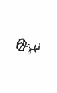 CC(C)(CI)C(=O)OC12CC3CC(CC(C3)C1)C2